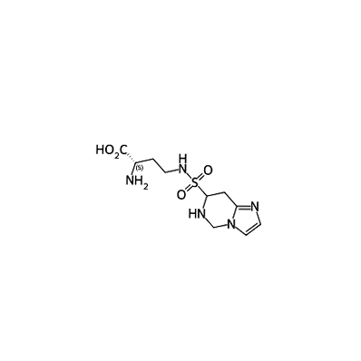 N[C@@H](CCNS(=O)(=O)C1Cc2nccn2CN1)C(=O)O